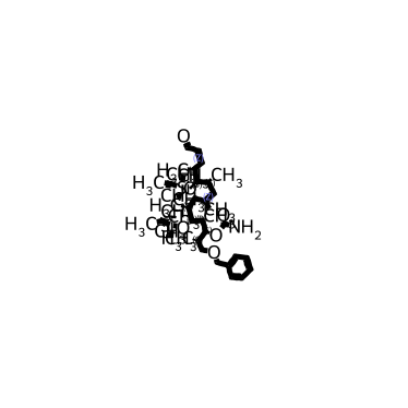 C/C(=C/[C@H](C)[C@@H](O[Si](C)(C)C(C)(C)C)[C@@H](C)/C=C\C=O)C[C@H](C)[C@@H](O[Si](C)(C)C(C)(C)C)[C@H](C)[C@@H](OC(N)=O)[C@@H](C)COCc1ccccc1